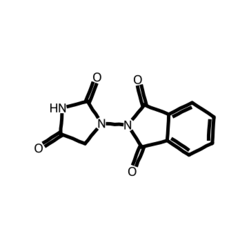 O=C1CN(N2C(=O)c3ccccc3C2=O)C(=O)N1